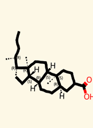 CCC[C@@H](C)[C@H]1CC[C@H]2[C@@H]3CC[C@@H]4CC(C(=O)O)CC[C@]4(C)[C@H]3CC[C@]12C